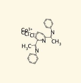 CC(=Nc1ccccc1)c1cccc(C(C)=Nc2ccccc2)n1.[Cl-].[Cl-].[Cl-].[Co+3]